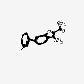 NC(=O)c1oc2cc(-c3cccc(Cl)c3)ccc2c1N